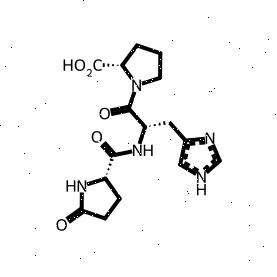 O=C1CC[C@@H](C(=O)N[C@@H](Cc2c[nH]cn2)C(=O)N2CCC[C@H]2C(=O)O)N1